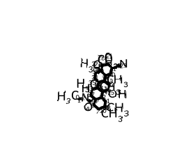 CCNC(=O)[C@]12CCC(C)(C)CC1C1C(O)C=C3[C@@]4(C)C=C(C#N)C(=O)C(C)(C)[C@@H]4CC[C@@]3(C)[C@]1(C)CC2